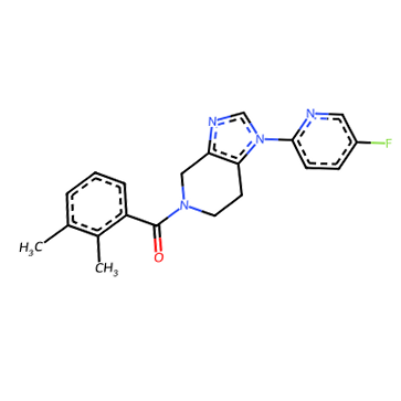 Cc1cccc(C(=O)N2CCc3c(ncn3-c3ccc(F)cn3)C2)c1C